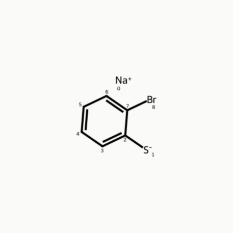 [Na+].[S-]c1ccccc1Br